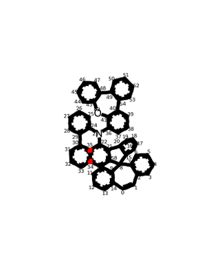 C1=Cc2ccccc2C2(c3ccccc31)c1ccccc1-c1c(N(c3ccccc3-c3ccccc3)c3cccc4c3Oc3ccccc3-c3ccccc3-4)cccc12